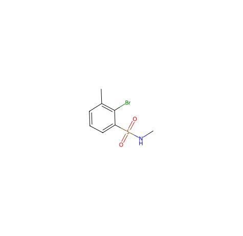 CNS(=O)(=O)c1cccc(C)c1Br